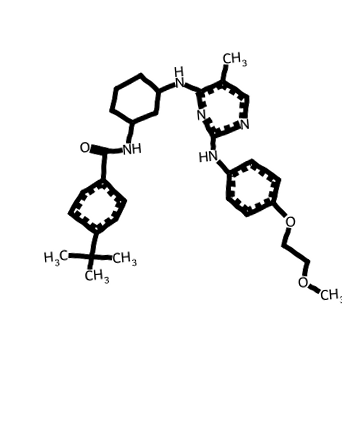 COCCOc1ccc(Nc2ncc(C)c(NC3CCCC(NC(=O)c4ccc(C(C)(C)C)cc4)C3)n2)cc1